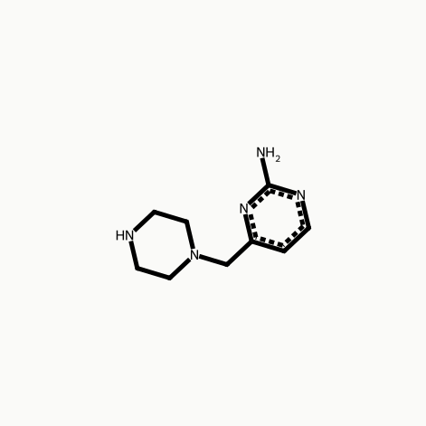 Nc1nccc(CN2CCNCC2)n1